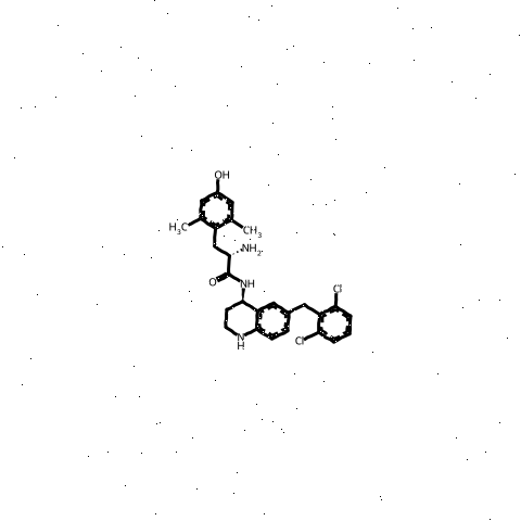 Cc1cc(O)cc(C)c1C[C@H](N)C(=O)N[C@@H]1CCNc2ccc(Cc3c(Cl)cccc3Cl)cc21